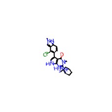 Cn1cc2c(Cl)c(-c3c[nH]c4nc(N5C6CCC5C(C)(N)C6)n(C)c(=O)c34)ccc2n1